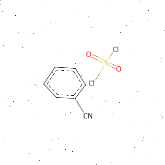 N#Cc1ccccc1.O=S(=O)(Cl)Cl